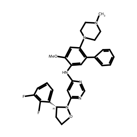 COc1cc(N2CCN(C)CC2)c(-c2ccccc2)cc1Nc1cc(N2OCC[C@@H]2c2cccc(F)c2F)ncn1